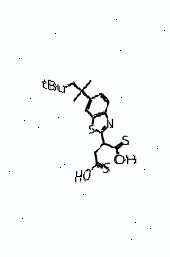 CC(C)(C)CC(C)(C)c1ccc2nc(C(CC(O)=S)C(O)=S)sc2c1